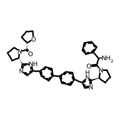 N[C@@H](C(=O)N1CCC[C@H]1c1ncc(-c2ccc(-c3ccc(-c4cnc([C@@H]5CCCN5C(=O)[C@@H]5CCCO5)[nH]4)cc3)cc2)[nH]1)c1ccccc1